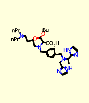 CCCN(CCC)CCCCN(Cc1ccc(CN(Cc2ncc[nH]2)C(C)c2ncc[nH]2)cc1)C(C(=O)O)C(=O)OC(C)CC